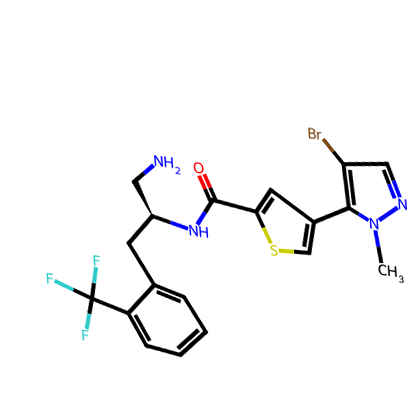 Cn1ncc(Br)c1-c1csc(C(=O)N[C@H](CN)Cc2ccccc2C(F)(F)F)c1